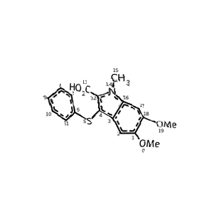 COc1cc2c(Sc3ccccc3)c(C(=O)O)n(C)c2cc1OC